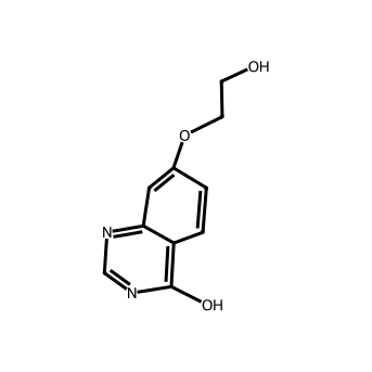 OCCOc1ccc2c(O)ncnc2c1